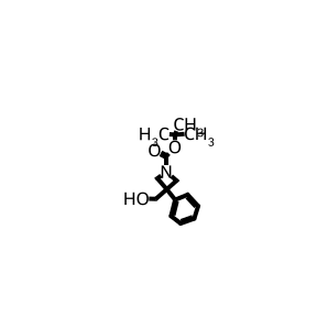 CC(C)(C)OC(=O)N1CC(CO)(c2ccccc2)C1